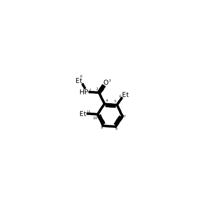 CCPC(=O)c1c(CC)cccc1CC